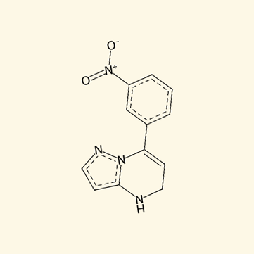 O=[N+]([O-])c1cccc(C2=CCNc3ccnn32)c1